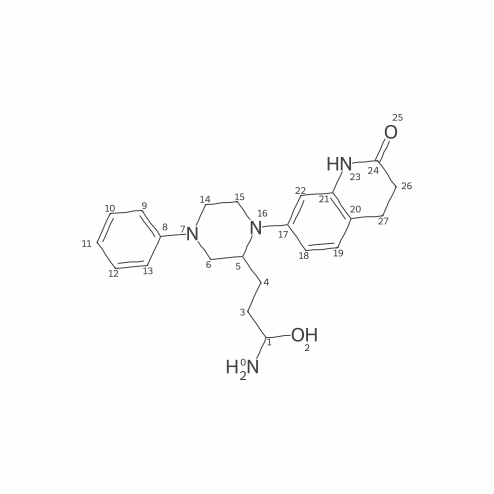 NC(O)CCC1CN(c2ccccc2)CCN1c1ccc2c(c1)NC(=O)CC2